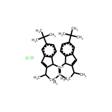 CC(C)C1=Cc2cc(C(C)(C)C)ccc2[CH]1[Zr+2]([CH]1C(C(C)C)=Cc2cc(C(C)(C)C)ccc21)=[Si](C)C.[Cl-].[Cl-]